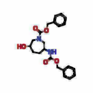 O=C(N[C@H]1CCC(O)CN(C(=O)OCc2ccccc2)C1)OCc1ccccc1